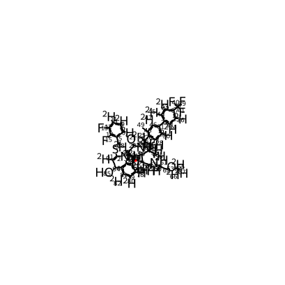 [2H]C1=C(SCc2c([2H])c([2H])c([2H])c(F)c2F)N(C([2H])([2H])C(=O)N(C([2H])([2H])c2c([2H])c([2H])c(-c3c([2H])c([2H])c(C(F)(F)F)c([2H])c3[2H])c([2H])c2C)C2([2H])C([2H])([2H])C([2H])([2H])N(C([2H])([2H])COC([2H])([2H])[2H])C([2H])([2H])C2([2H])[2H])c2c([2H])c([2H])c([2H])c([2H])c2C1O